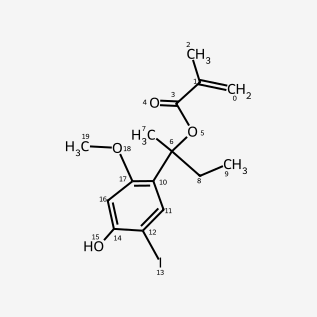 C=C(C)C(=O)OC(C)(CC)c1cc(I)c(O)cc1OC